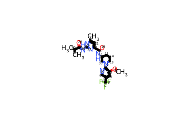 COc1cc(C(F)(F)F)cnc1N1CCC[C@@H](NC(=O)c2cc(C)nc(NC(=O)C(C)C)n2)C1